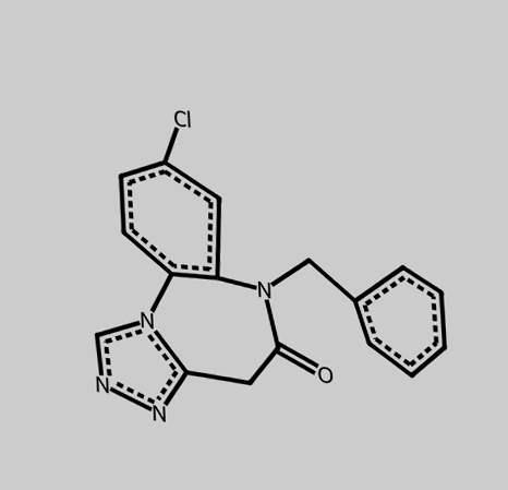 O=C1Cc2nncn2-c2ccc(Cl)cc2N1Cc1ccccc1